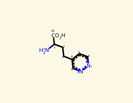 NC(CCc1ccnnc1)C(=O)O